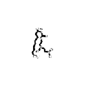 CCCCCCC(CCCCCCCC(=O)O)OC(=O)OCCN(CCN(CC)CC)C(C)C